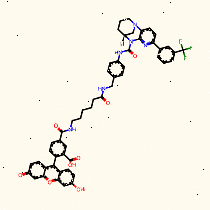 O=C(CCCCCNC(=O)c1ccc(-c2c3ccc(=O)cc-3oc3cc(O)ccc23)c(C(=O)O)c1)NCc1ccc(NC(=O)N2c3nc(-c4cccc(C(F)(F)F)c4)ccc3N3CCC[C@@H]2C3)cc1